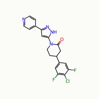 O=C1CC(c2cc(F)c(Cl)c(F)c2)CCN1c1cc(-c2ccncc2)n[nH]1